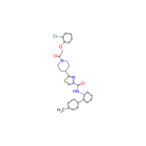 Cc1ccc(-c2ccccc2NC(=O)c2csc(C3CCN(C(=O)COc4ccccc4Cl)CC3)n2)cc1